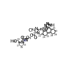 CCCCc1nc(Cl)c(C(=O)OCO/N=[N+](\[O-])N2CCC[C@H]2CO)n1Cc1ccc(-c2ccccc2-c2nnn[nH]2)cc1